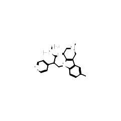 Cc1ccc2c(c1)c1c(n2CC(C(=O)NC(C)(C)C)c2ccncc2)CCN(C)C1